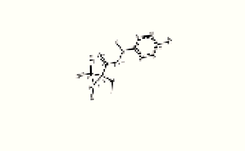 CC[C@@]1(C(=O)NC(C)c2ccc(Cl)cc2)[C@@H](C)C1(Cl)Cl